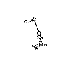 C[C@](CCc1nc2ccc(C#CC#C[C@@H]3CC[C@H]3CO)cc2s1)(C[SH](=O)=O)C(=O)NO